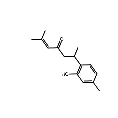 CC(C)=CC(=O)CC(C)c1ccc(C)cc1O